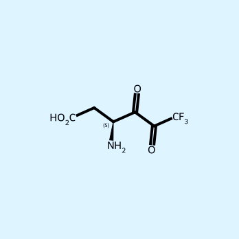 N[C@@H](CC(=O)O)C(=O)C(=O)C(F)(F)F